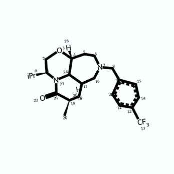 CC(C)[C@H]1CO[C@@H]2CCN(Cc3ccc(C(F)(F)F)cc3)C[C@H]3C[C@@H](C)C(=O)N1C32